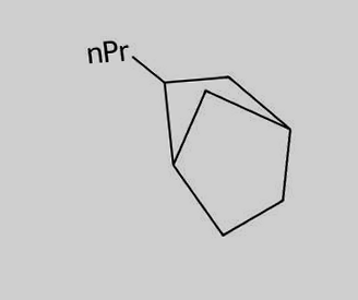 CCCC1CC2CCC1C2